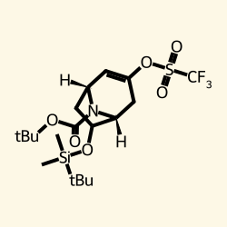 CC(C)(C)OC(=O)N1[C@@H]2CC(OS(=O)(=O)C(F)(F)F)=C[C@H]1CC2O[Si](C)(C)C(C)(C)C